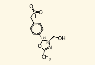 CC1=N[C@H](CO)[C@@H](c2ccc(C[SH](=O)=O)cc2)O1